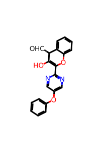 O=CC1C(O)=C(c2ncc(Oc3ccccc3)cn2)Oc2ccccc21